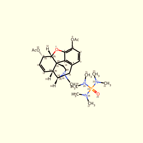 CC(=O)Oc1ccc2c3c1O[C@H]1[C@@H](OC(C)=O)C=C[C@H]4[C@@H](C2)N(C)CC[C@@]341.CN(C)P(=O)(N(C)C)N(C)C